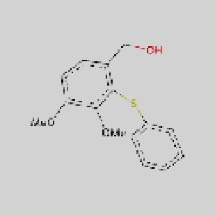 COc1ccc(CO)c(Sc2ccccc2)c1OC